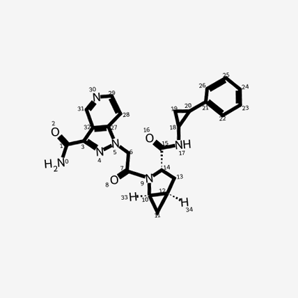 NC(=O)c1nn(CC(=O)N2[C@@H]3C[C@@H]3C[C@H]2C(=O)NC2CC2c2ccccc2)c2ccncc12